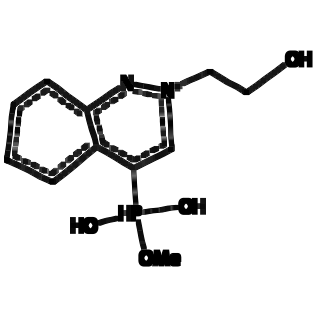 CO[PH](O)(O)c1c[n+](CCO)nc2ccccc12